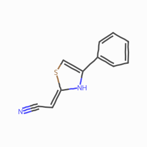 N#CC=C1NC(c2ccccc2)=CS1